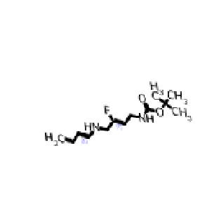 C=C/C=C/NC/C(F)=C/CNC(=O)OC(C)(C)C